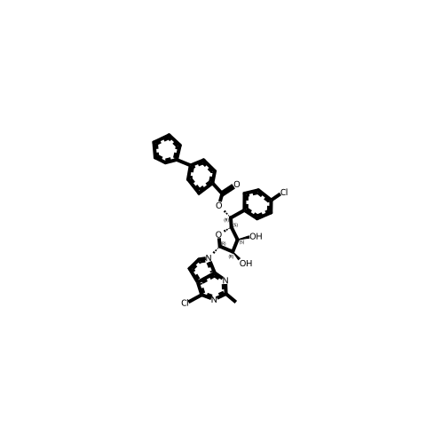 Cc1nc(Cl)c2ccn([C@@H]3O[C@H]([C@H](OC(=O)c4ccc(-c5ccccc5)cc4)c4ccc(Cl)cc4)[C@@H](O)[C@H]3O)c2n1